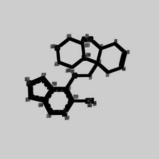 CC(=O)OC1CC=CCC1(COc1c(C)ncc2cocc12)N1CCOCC1